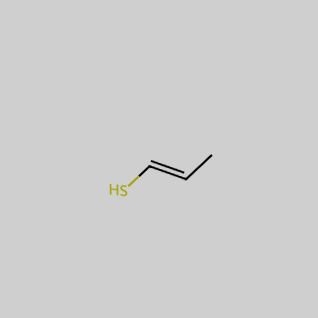 C/C=C/S